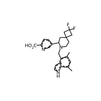 Cc1cc(C)c2[nH]ccc2c1CN1CCC2(CC1c1ccc(C(=O)O)nc1)CC(F)(F)C2